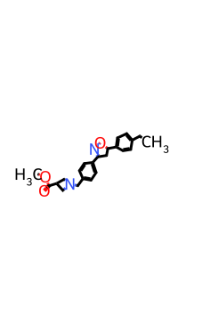 CCc1ccc(C2CC(c3ccc(CN4CC(C(=O)OC)C4)cc3)=NO2)cc1